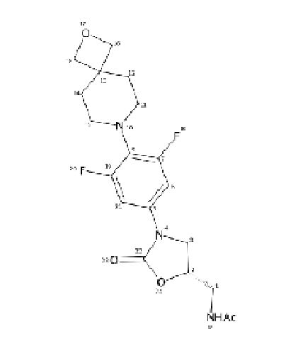 CC(=O)NC[C@H]1CN(c2cc(F)c(N3CCC4(CC3)COC4)c(F)c2)C(=O)O1